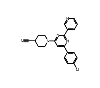 N#CC1CCN(c2cc(-c3ccc(Cl)cc3)nc(-c3cccnc3)n2)CC1